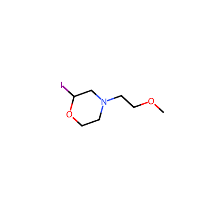 COCCN1CCOC(I)C1